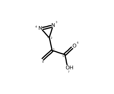 C=C([C]1N=N1)C(=O)O